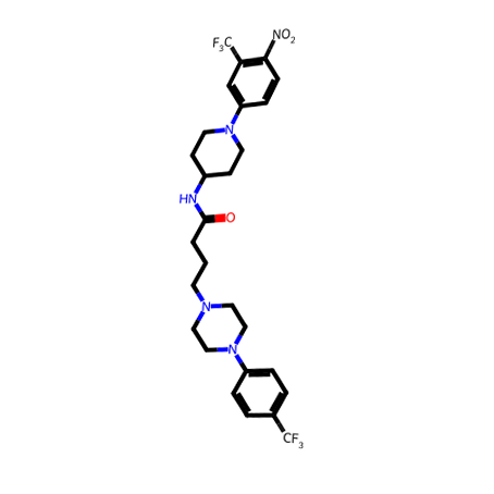 O=C(CCCN1CCN(c2ccc(C(F)(F)F)cc2)CC1)NC1CCN(c2ccc([N+](=O)[O-])c(C(F)(F)F)c2)CC1